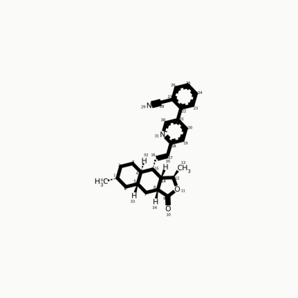 C[C@@H]1CC[C@@H]2[C@@H](C1)C[C@H]1C(=O)O[C@H](C)[C@H]1[C@H]2/C=C/c1ccc(-c2ccccc2C#N)cn1